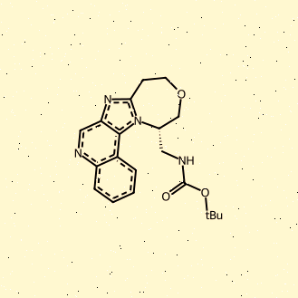 CC(C)(C)OC(=O)NC[C@H]1COCCc2nc3cnc4ccccc4c3n21